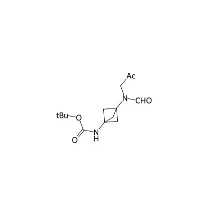 CC(=O)CN(C=O)C12CC(NC(=O)OC(C)(C)C)(C1)C2